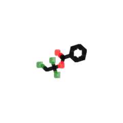 O=C(OC(Cl)(Cl)CCl)c1ccccc1